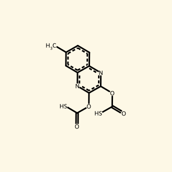 Cc1ccc2nc(OC(=O)S)c(OC(=O)S)nc2c1